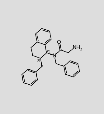 NCC(=O)N(Cc1ccccc1)[C@@H]1c2ccccc2CC[C@@H]1Cc1ccccc1